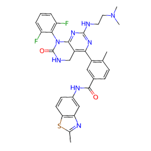 Cc1nc2cc(NC(=O)c3ccc(C)c(-c4nc(NCCN(C)C)nc5c4CNC(=O)N5c4c(F)cccc4F)c3)ccc2s1